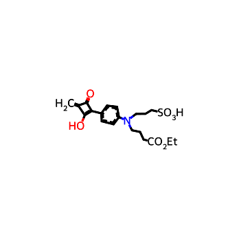 C=C1C(=O)C(c2ccc(N(CCCC(=O)OCC)CCCS(=O)(=O)O)cc2)=C1O